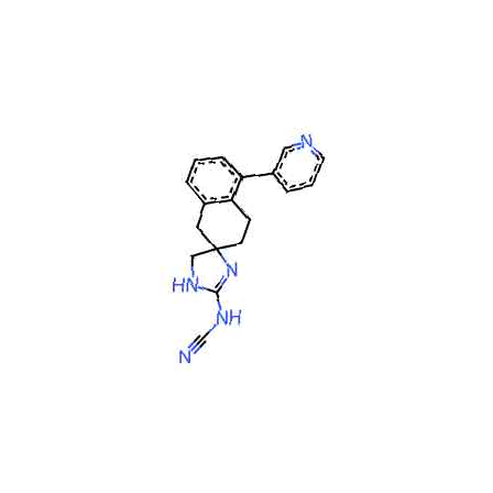 N#CNC1=NC2(CCc3c(cccc3-c3cccnc3)C2)CN1